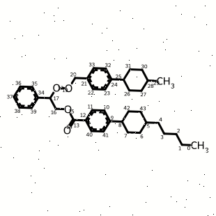 CCCCCC1CCC(c2ccc(C(=O)OCC(OOCc3ccc(C4CCC(C)CC4)cc3)c3ccccc3)cc2)CC1